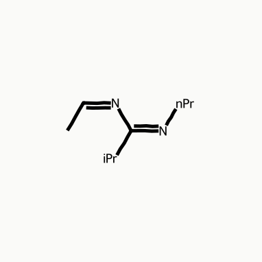 C/C=N\C(=N/CCC)C(C)C